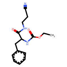 CCOC(=O)NC(Cc1ccccc1)C(=O)NCCC#N